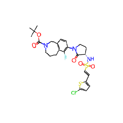 CC(C)(C)OC(=O)N1CCCc2c(ccc(N3CC[C@H](NS(=O)(=O)/C=C/c4ccc(Cl)s4)C3=O)c2F)C1